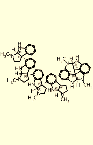 CN1CC[C@]2(c3cccc4c3N[C@@H]3N(C)CC[C@]43c3cccc4c3N[C@@H]3N(C)CC[C@]43c3cccc4c3N[C@@H]3N(C)CC[C@]43[C@@]34CCN(C)[C@@H]3Nc3ccccc34)c3cccc([C@]45CCN(C)[C@H]4Nc4ccccc45)c3N[C@H]12